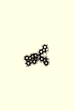 CC1(C)c2ccccc2-c2ccc(N(C3=CCCc4c3oc3ccc5c(c43)C3(c4c#cccc4-c4ccccc43)c3ccccc3-5)c3ccc4c(c3)C(C)(C)c3ccccc3-4)cc21